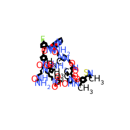 Cc1ncsc1-c1ccc([C@H](C)NC(=O)[C@@H]2C[C@@H](O)CN2C(=O)[C@@H](c2cc(OCCN3CCN(CCOc4cc(N5C6CCC5CN(c5cc(-c7cc(F)ccc7OCc7ccc(NC(=O)[C@H](CCCNC(N)=O)N(CCCCCN8C(=O)C=CC8=O)C(=O)C8(C(N)=O)CCC8)cc7)nnc5N)C6)ccn4)[C@H](C)C3)no2)C(C)C)cc1